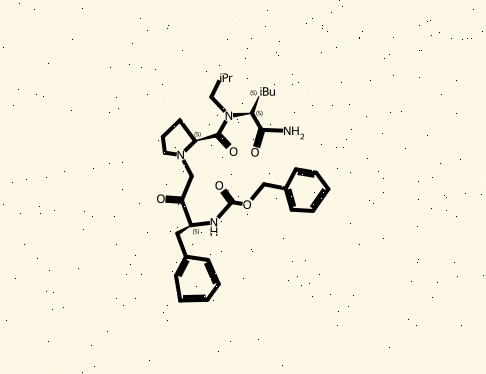 CC[C@H](C)[C@@H](C(N)=O)N(CC(C)C)C(=O)[C@@H]1CCCN1CC(=O)[C@H](Cc1ccccc1)NC(=O)OCc1ccccc1